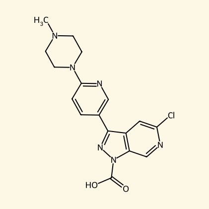 CN1CCN(c2ccc(-c3nn(C(=O)O)c4cnc(Cl)cc34)cn2)CC1